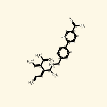 C=C/C=C(\C(=C\C)C(=C)C)[C@H](C)NCc1ccc(-c2ccc(C(C)=O)cn2)cc1